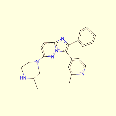 Cc1cc(-c2c(-c3ccccc3)nc3ccc(N4CCNC(C)C4)nn23)ccn1